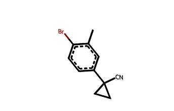 Cc1cc(C2(C#N)CC2)ccc1Br